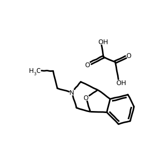 CCCN1CC2OC(C1)c1ccccc12.O=C(O)C(=O)O